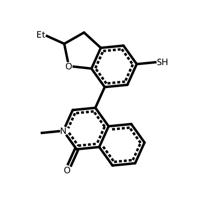 CCC1Cc2cc(S)cc(-c3cn(C)c(=O)c4ccccc34)c2O1